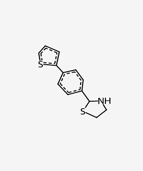 c1csc(-c2ccc(C3NCCS3)cc2)c1